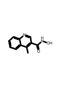 Cc1c(C(=O)NO)cnc2ccccc12